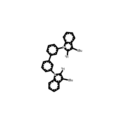 [2H]c1c(C(C)(C)C)c2ccccc2n1-c1cccc(-c2cccc(-n3c([2H])c(C(C)(C)C)c4ccccc43)c2)c1